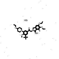 Br.CCOc1cc2c(c(F)c1OCC)C(=N)N(CC(=O)c1cc(N3CCC(OCC)CC3)c(OC)c(C(C)(C)C)c1)C2